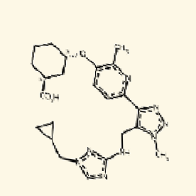 Cc1nc(-c2nnn(C)c2CNc2ncn(CC3CC3)n2)ccc1O[C@H]1CCC[C@H](C(=O)O)C1